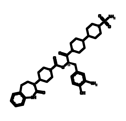 Bc1cc(C[C@@H](OC(=O)N2CCC(N3CCc4ccccc4NC3=O)CC2)C(=O)N2CCC(C3CCN(S(N)(=O)=O)CC3)CC2)ccc1O